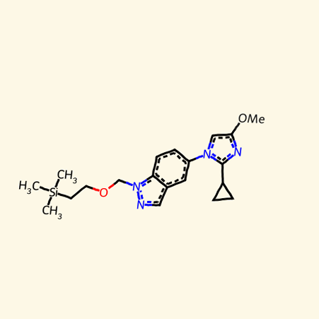 COc1cn(-c2ccc3c(cnn3COCC[Si](C)(C)C)c2)c(C2CC2)n1